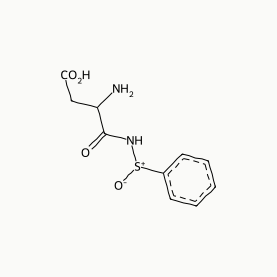 NC(CC(=O)O)C(=O)N[S+]([O-])c1ccccc1